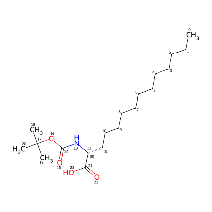 CCCCCCCCCCCC[C@@H](NC(=O)OC(C)(C)C)C(=O)O